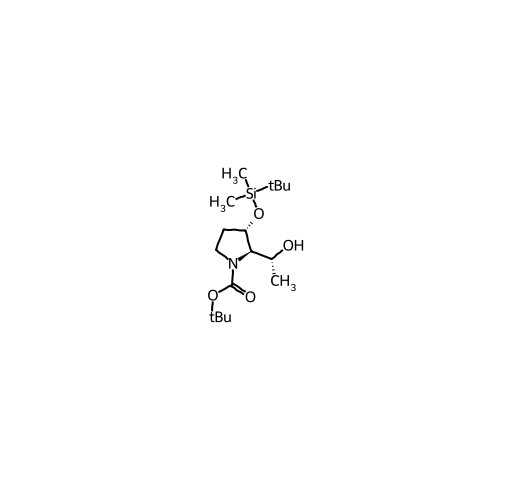 C[C@@H](O)[C@@H]1[C@@H](O[Si](C)(C)C(C)(C)C)CCN1C(=O)OC(C)(C)C